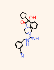 N#Cc1cccc(CNC(=N)N2CCN(C(=O)[C@](O)(c3ccccc3)C3CCCC3)CC2)c1